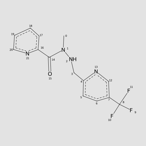 CN(NCc1ccc(C(F)(F)F)cn1)C(=O)c1ccccn1